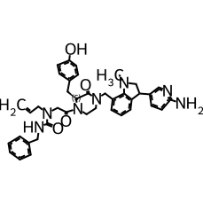 C=CCN(CC(=O)N1CCN(Cc2cccc3c2N(C)CC3c2ccc(N)nc2)C(=O)[C@@H]1Cc1ccc(O)cc1)C(=O)NCc1ccccc1